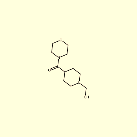 O=C(C1CCN(CO)CC1)N1CCOCC1